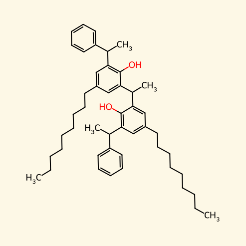 CCCCCCCCCc1cc(C(C)c2ccccc2)c(O)c(C(C)c2cc(CCCCCCCCC)cc(C(C)c3ccccc3)c2O)c1